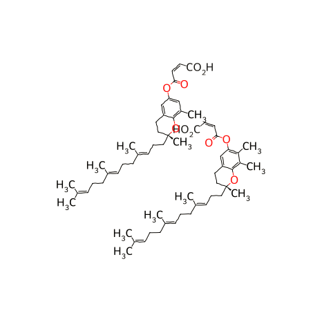 CC(C)=CCC/C(C)=C/CC/C(C)=C/CC[C@]1(C)CCc2cc(OC(=O)/C=C\C(=O)O)c(C)c(C)c2O1.CC(C)=CCC/C(C)=C/CC/C(C)=C/CC[C@]1(C)CCc2cc(OC(=O)/C=C\C(=O)O)cc(C)c2O1